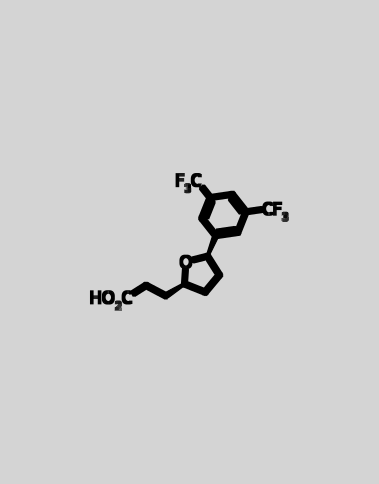 O=C(O)CC[C@@H]1CC[C@H](c2cc(C(F)(F)F)cc(C(F)(F)F)c2)O1